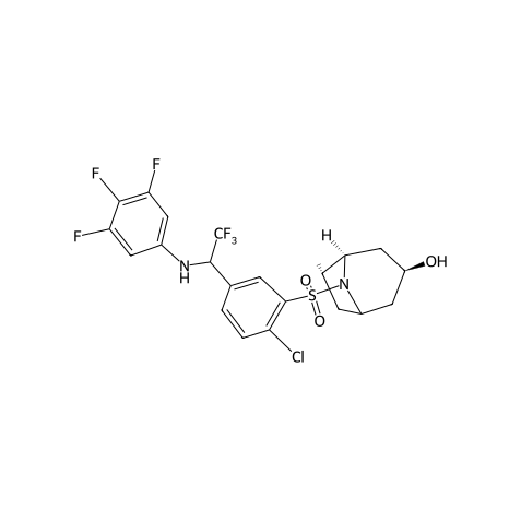 C[C@H]1CC2C[C@H](O)C[C@H]1N2S(=O)(=O)c1cc(C(Nc2cc(F)c(F)c(F)c2)C(F)(F)F)ccc1Cl